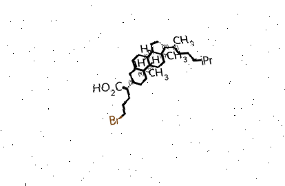 CC(C)CCC[C@@H](C)[C@H]1CC[C@H]2[C@@H]3CC=C4C[C@@H](C(CCCBr)C(=O)O)CC[C@]4(C)[C@H]3CC[C@]12C